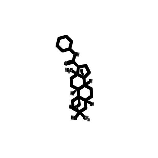 COC[C@]12CC[C@](O)(C(F)(F)F)C[C@H]1CC[C@H]1[C@@H]3CC[C@H](C(=O)NC4CCCCC4)[C@@]3(C)CC[C@@H]12